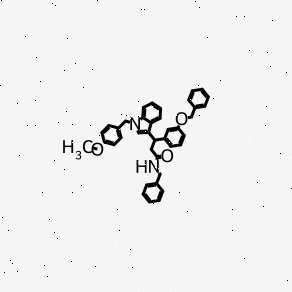 COc1ccc(Cn2cc(C(CC(=O)NCc3ccccc3)c3cccc(OCc4ccccc4)c3)c3ccccc32)cc1